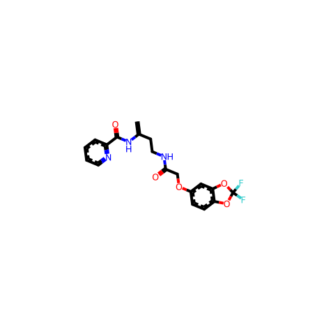 C=C(CCNC(=O)COc1ccc2c(c1)OC(F)(F)O2)NC(=O)c1ccccn1